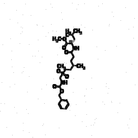 COC(=O)[C@H](CC(C)C)NC(=O)CCC(C)CCP(=O)(CNC(=O)OCc1ccccc1)OC